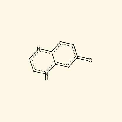 O=c1ccc2ncc[nH]c-2c1